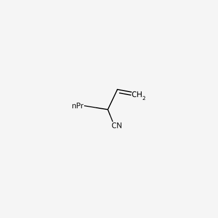 [CH2]CCC(C#N)C=C